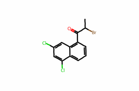 CC(Br)C(=O)c1cccc2c(Cl)cc(Cl)cc12